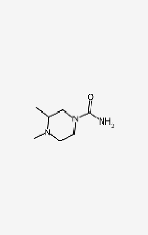 CC1CN(C(N)=O)CCN1C